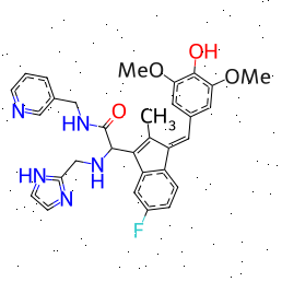 COc1cc(C=C2C(C)=C(C(NCc3ncc[nH]3)C(=O)NCc3cccnc3)c3cc(F)ccc32)cc(OC)c1O